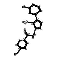 [C-]#[N+]c1cccc(-n2ccc(NC(=O)c3ccc(Br)cc3)c2C(=O)O)c1